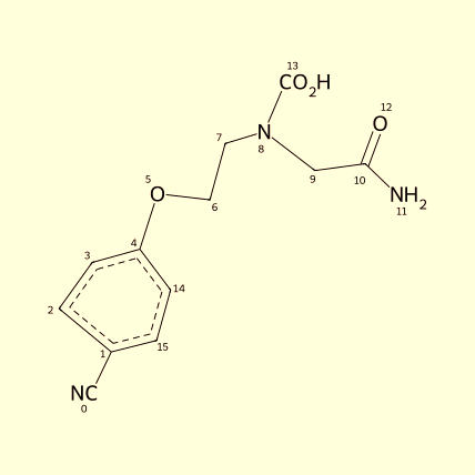 N#Cc1ccc(OCCN(CC(N)=O)C(=O)O)cc1